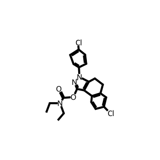 CCN(CC)C(=O)Oc1nn(-c2ccc(Cl)cc2)c2c1-c1ccc(Cl)cc1CC2